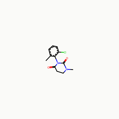 Cc1cccc(Cl)c1N1C(=O)CCN(C)C1=O